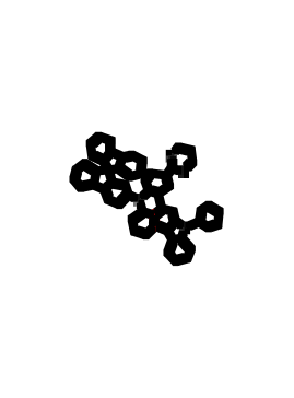 c1ccc(N(c2ccc3c(c2)C2(c4ccccc4-c4ccccc42)c2ccccc2-3)c2ccc(-c3ncccn3)cc2-c2ccc3c4ccccc4n(-c4ccccc4)c3c2)cc1